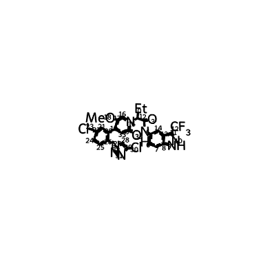 CCC(C(=O)Nc1ccc2[nH]nc(C(F)(F)F)c2c1)n1cc(OC)c(-c2cc(Cl)ccc2-n2cc(Cl)nn2)cc1=O